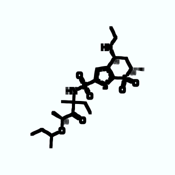 CCN[C@H]1C[C@H](C)S(=O)(=O)c2sc(S(=O)(=O)NC(C)(CC)C(=O)[C@H](C)OC(C)CC)cc21